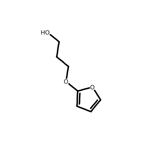 OCCCOc1ccco1